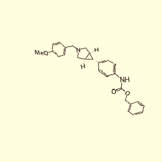 COc1ccc(CN2C[C@@H]3[C@H](C2)[C@H]3c2ccc(NC(=O)OCc3ccccc3)cc2)cc1